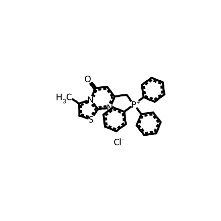 Cc1csc2nc(C[P+](c3ccccc3)(c3ccccc3)c3ccccc3)cc(=O)n12.[Cl-]